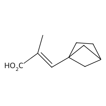 CC(=CC12CCC(C1)C2)C(=O)O